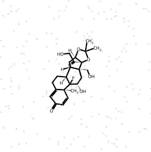 CC1(C)O[C@@H]2C[C@H]3[C@@H]4CCC5=CC(=O)C=C[C@]5(C)C4(F)[C@@H](O)C[C@]3(CO)[C@]2(C(=O)CO)O1